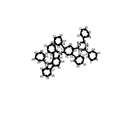 c1ccc(-c2nc(-c3ccccc3)nc(-c3cc(-c4ccccc4)c(-n4c5ccccc5c5c4ccc4c6ccccc6n(-c6ccccc6)c45)cc3-c3ccccc3)n2)cc1